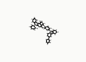 c1ccc(-c2ccc3c(c2)c2ccccc2n3-c2ccc3c(c2)Oc2cc4c(c5cccc-3c25)c2ccccc2n4-c2ccccc2)cc1